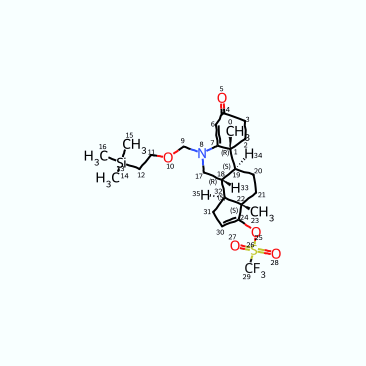 C[C@]12CCC(=O)C=C1N(COCC[Si](C)(C)C)C[C@@H]1[C@@H]2CC[C@]2(C)C(OS(=O)(=O)C(F)(F)F)=CC[C@@H]12